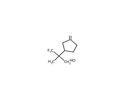 CC(C)(C1CCNC1)C(F)(F)F.Cl